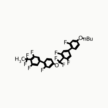 CCCCOc1ccc(-c2cc(F)c(C(F)(F)Oc3ccc(-c4cc(F)c(C(C)(F)F)c(F)c4)c(F)c3)c(F)c2)c(F)c1